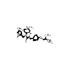 Cc1csc(CN(C(=O)NCc2ccc(OCC(C)C)cc2)C2CCN(C)CC2)c1